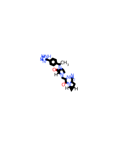 CC(c1ccc(-c2nnn[nH]2)cc1)N1C(=O)[C@@H]2CC1CN2CC(N)C(=O)N1C(C#N)C[C@@H]2C[C@@H]21